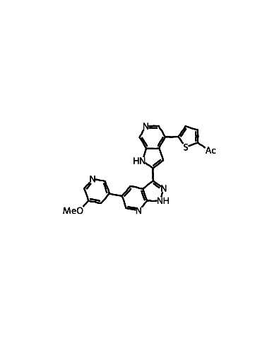 COc1cncc(-c2cnc3[nH]nc(-c4cc5c(-c6ccc(C(C)=O)s6)cncc5[nH]4)c3c2)c1